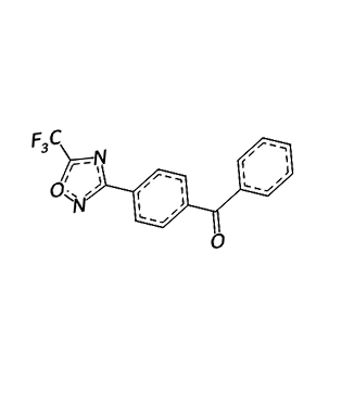 O=C(c1ccccc1)c1ccc(-c2noc(C(F)(F)F)n2)cc1